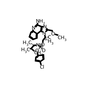 CCOCc1nc2c(N)nc3ccccc3c2n1[C@H](C)CO[P@@](=O)(N[C@@H](C)C(C)C)Oc1ccc(Cl)cc1